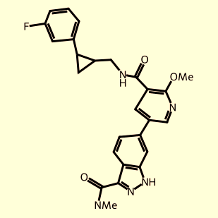 CNC(=O)c1n[nH]c2cc(-c3cnc(OC)c(C(=O)NCC4CC4c4cccc(F)c4)c3)ccc12